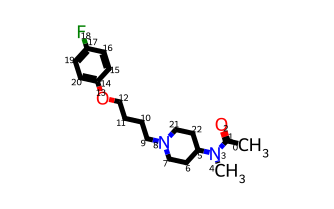 CC(=O)N(C)C1CCN(CCCCOc2ccc(F)cc2)CC1